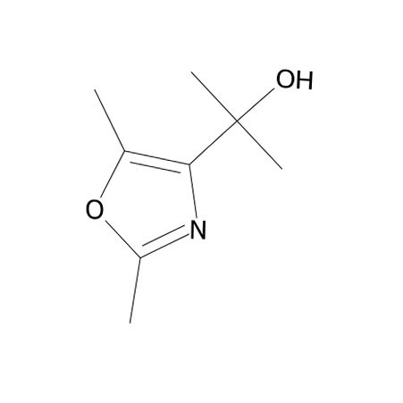 Cc1nc(C(C)(C)O)c(C)o1